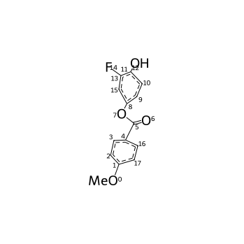 COc1ccc(C(=O)Oc2ccc(O)c(F)c2)cc1